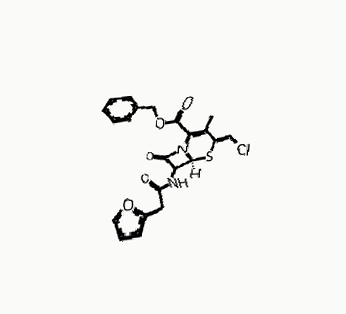 CC1=C(C(=O)OCc2ccccc2)N2C(=O)C(NC(=O)Cc3ccco3)[C@@H]2SC1=CCl